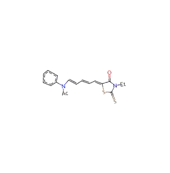 CCN1C(=O)C(=CC=CC=CN(C(C)=O)c2ccccc2)SC1=S